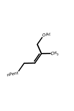 CCCCCCC=C(C)COC(C)=O